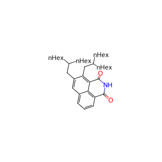 CCCCCCC(CCCCCC)Cc1cc2cccc3c2c(c1CC(CCCCCC)CCCCCC)C(=O)NC3=O